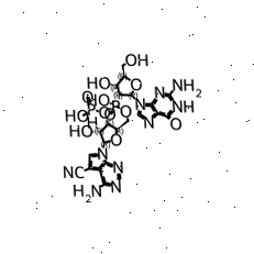 N#Cc1cn([C@@H]2O[C@H](COP(=O)(O)[C@@H]3[C@H](O)[C@@H](CO)O[C@H]3n3cnc4c(=O)[nH]c(N)nc43)[C@@H](O[PH](=O)O)[C@H]2O)c2ncnc(N)c12